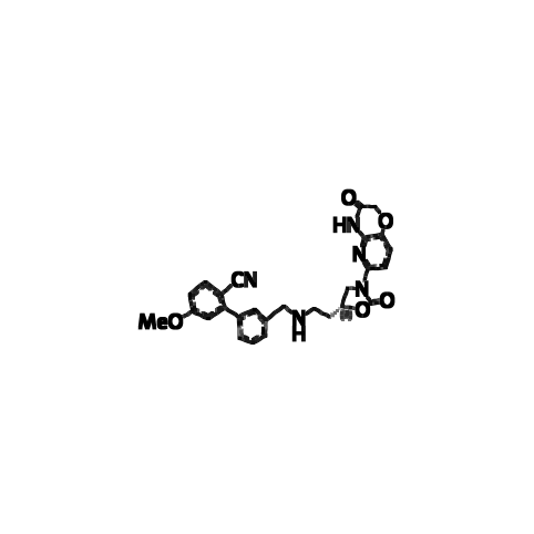 COc1ccc(C#N)c(-c2cccc(CNCC[C@@H]3CN(c4ccc5c(n4)NC(=O)CO5)C(=O)O3)c2)c1